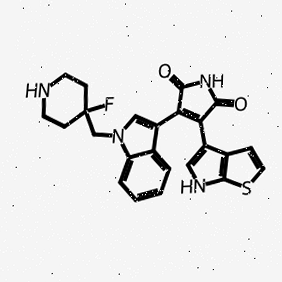 O=C1NC(=O)C(c2cn(CC3(F)CCNCC3)c3ccccc23)=C1c1c[nH]c2sccc12